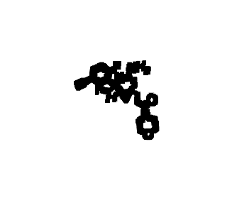 C#Cc1ccc(F)c([C@@]2(CF)N=C(N)S[C@@]3(CCC(=O)N4CCOCC4)C[C@H]32)c1